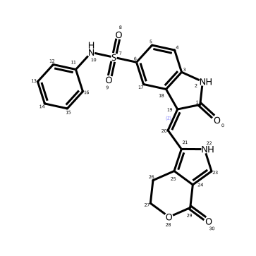 O=C1Nc2ccc(S(=O)(=O)Nc3ccccc3)cc2/C1=C/c1[nH]cc2c1CCOC2=O